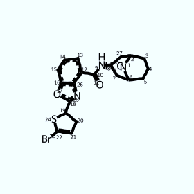 CN1C2CCCC1CC(NC(=O)c1cccc3oc(C4CC=C(Br)S4)nc13)C2